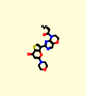 C=CC(=O)N1CCOc2cnc(-c3csc4c(=O)cc(N5CCOCC5)oc34)nc21